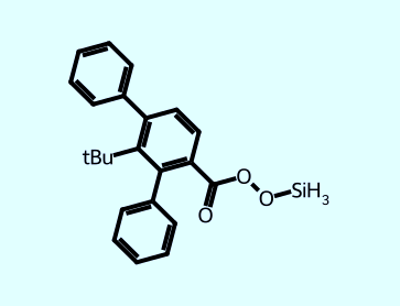 CC(C)(C)c1c(-c2ccccc2)ccc(C(=O)OO[SiH3])c1-c1ccccc1